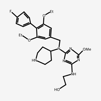 CCOc1cc(CN(c2nc(NCCO)nc(OC)n2)C2CCNCC2)cc(OCC)c1-c1ccc(F)cc1